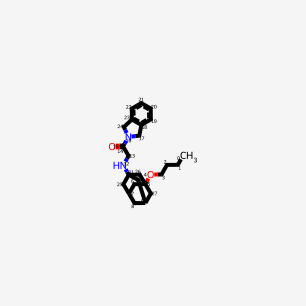 CCCCOC12CC3CC(CC(NCC(=O)N4Cc5ccccc5C4)(C3)C1)C2